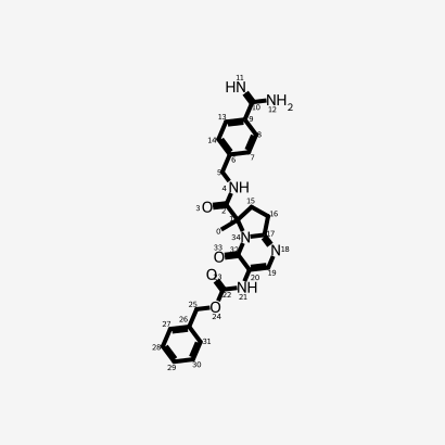 CC1(C(=O)NCc2ccc(C(=N)N)cc2)CCc2ncc(NC(=O)OCc3ccccc3)c(=O)n21